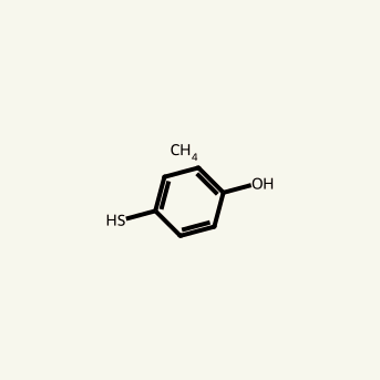 C.Oc1ccc(S)cc1